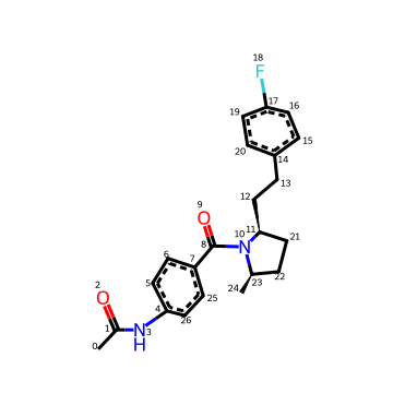 CC(=O)Nc1ccc(C(=O)N2[C@@H](CCc3ccc(F)cc3)CC[C@H]2C)cc1